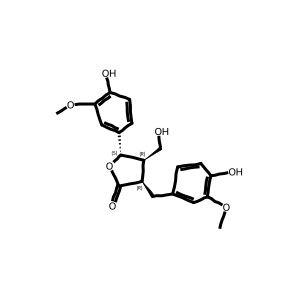 COc1cc(C[C@H]2C(=O)O[C@H](c3ccc(O)c(OC)c3)[C@H]2CO)ccc1O